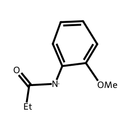 CCC(=O)[N]c1ccccc1OC